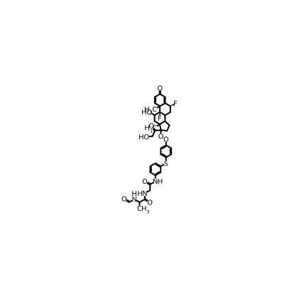 CC(NC=O)C(=O)NCC(=O)Nc1cccc(Sc2ccc(OOC3(C(=O)CO)CCC4C5C[C@H](F)C6=CC(=O)C=CC6(C)[C@@]5(F)C(O)CC43C)cc2)c1